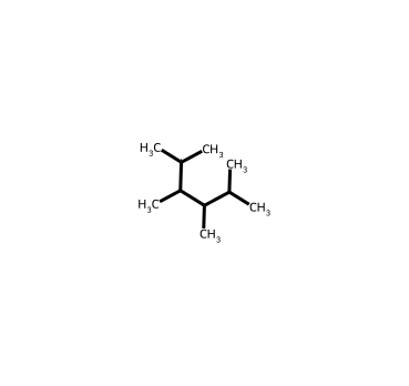 C[C](C)C(C)C(C)C(C)C